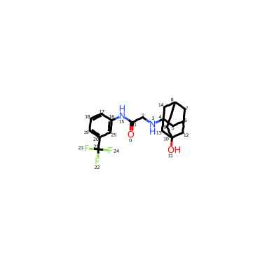 O=C(CNC12CC3CC(CC(O)(C3)C1)C2)Nc1cccc(C(F)(F)F)c1